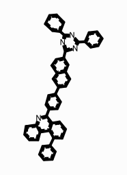 c1ccc(-c2nc(-c3ccccc3)nc(-c3ccc4cc(-c5ccc(-c6nc7ccccc7c7c(-c8ccccc8)cccc67)cc5)ccc4c3)n2)cc1